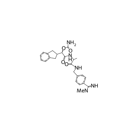 CNC(=N)c1ccc(CNC(=O)C(C)NC(=O)[C@H](OC(N)=O)C2Cc3ccccc3C2)cc1